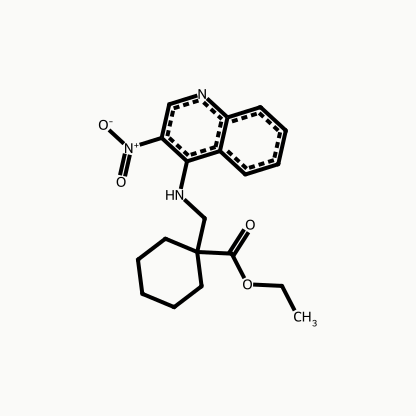 CCOC(=O)C1(CNc2c([N+](=O)[O-])cnc3ccccc23)CCCCC1